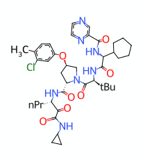 CCC[C@H](NC(=O)[C@@H]1C[C@@H](Oc2ccc(C)c(Cl)c2)CN1C(=O)[C@@H](NC(=O)[C@@H](NC(=O)c1cnccn1)C1CCCCC1)C(C)(C)C)C(=O)C(=O)NC1CC1